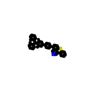 CC1=CC=C=C=C1B(c1ccccc1C)c1c(C)cc(-c2ccc(-c3ccc4c5c(cncc35)-c3ccccc3S4)cc2)cc1C